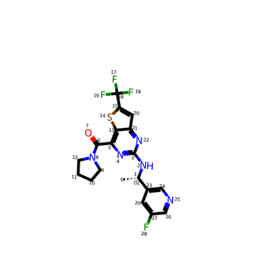 C[C@H](Nc1nc(C(=O)N2CCCC2)c2sc(C(F)(F)F)cc2n1)c1cncc(F)c1